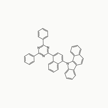 c1ccc(-c2nc(-c3ccccc3)nc(-c3ccc(-n4c5ccccc5c5ccc6ccccc6c54)c4ccccc34)n2)cc1